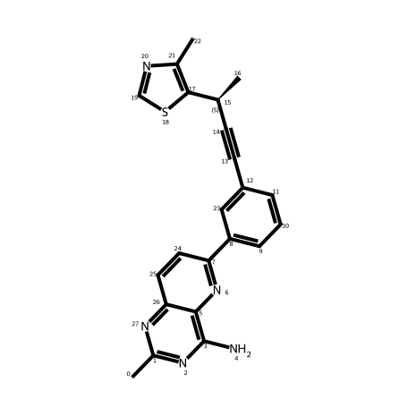 Cc1nc(N)c2nc(-c3cccc(C#C[C@H](C)c4scnc4C)c3)ccc2n1